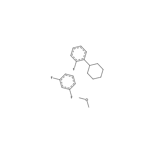 COC.Fc1cccc(F)c1.Fc1ccccc1C1CCCCC1